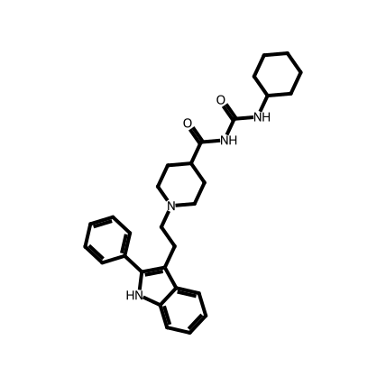 O=C(NC(=O)C1CCN(CCc2c(-c3ccccc3)[nH]c3ccccc23)CC1)NC1CCCCC1